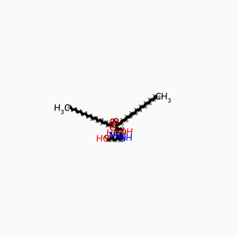 CCCCCCCCCCCCCCCCCC(=O)OC(C(=O)CCCCCCCCCCCCCCCCC)C(O)CO.NC(CO)Cc1c[nH]cn1